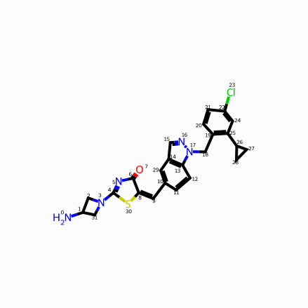 NC1CN(C2=NC(=O)C(=Cc3ccc4c(cnn4Cc4ccc(Cl)cc4C4CC4)c3)S2)C1